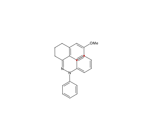 COc1ccc2c(c1)CCC/C2=N/N(c1ccccc1)c1ccccc1